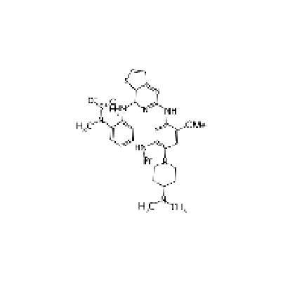 COc1cc(N2CCC(N(C)C)CC2)c(NC(C)C)cc1Nc1nc(Nc2ccccc2N(C)[S+](C)[O-])c2sccc2n1